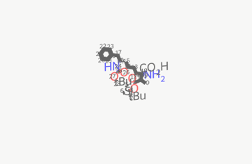 CC(CO[Si](C)(C)C(C)(C)C)[C@](N)(C(=O)O)C(=O)CCC[C@@H](Cc1ccccc1)NC(=O)OC(C)(C)C